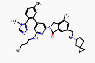 Cn1cnnc1-c1ccc(C(F)(F)F)cc1-c1cc(NCCCC#N)nc(N2Cc3c(cc(CN[C@@H]4CCC5(CC5)C4)cc3C(F)(F)F)C2=O)c1